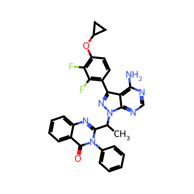 CC(c1nc2ccccc2c(=O)n1-c1ccccc1)n1nc(-c2ccc(OC3CC3)c(F)c2F)c2c(N)ncnc21